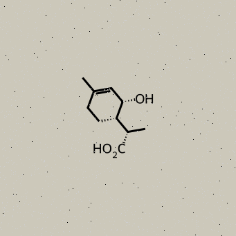 CC1=C[C@H](O)[C@H]([C@H](C)C(=O)O)CC1